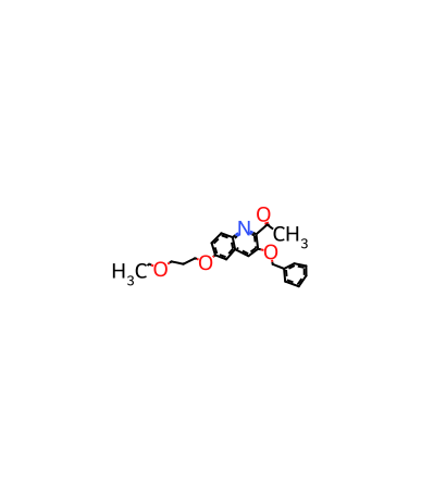 CCOCCCOc1ccc2nc(C(C)=O)c(OCc3ccccc3)cc2c1